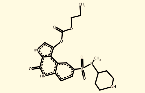 CCCOC(=O)Oc1c[nH]c2c(=O)[nH]c3ccc(S(=O)(=O)N(C)C4CCNCC4)cc3c12